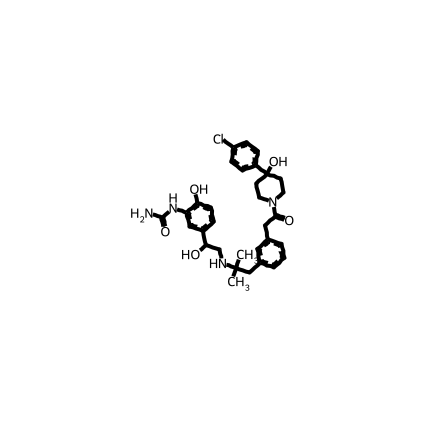 CC(C)(Cc1cccc(CC(=O)N2CCC(O)(c3ccc(Cl)cc3)CC2)c1)NCC(O)c1ccc(O)c(NC(N)=O)c1